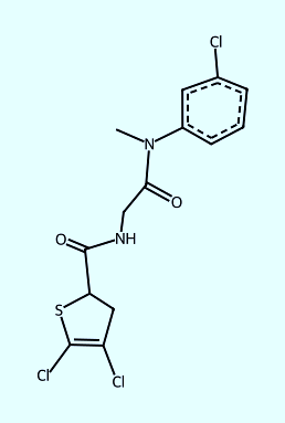 CN(C(=O)CNC(=O)C1CC(Cl)=C(Cl)S1)c1cccc(Cl)c1